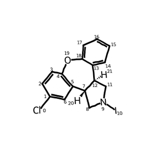 Clc1ccc2c(c1)[C@H]1CN(I)C[C@@H]1c1ccccc1O2